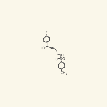 Cc1ccc(S(=O)(=O)NCCC#CC(O)c2ccc(F)cc2)cc1